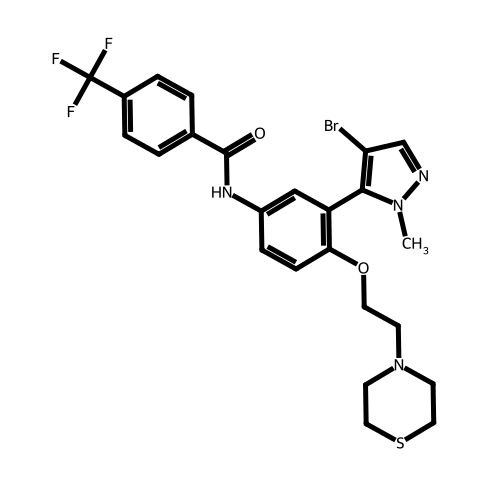 Cn1ncc(Br)c1-c1cc(NC(=O)c2ccc(C(F)(F)F)cc2)ccc1OCCN1CCSCC1